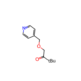 CC(C)(C)C(=O)COCc1ccncc1